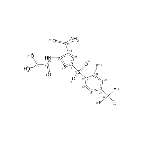 CC(O)C(=O)Nc1sc(S(=O)(=O)c2ccc(C(F)(F)F)cc2F)cc1C(N)=O